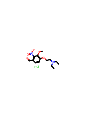 CCN(CC)CCOc1ccc(C=O)c([N+](=O)[O-])c1OC.Cl